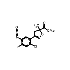 COC(=O)C1(C(F)(F)F)CC(c2cc(N=C=O)c(F)cc2Cl)=NO1